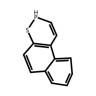 C1=Cc2c(ccc3ccccc23)SP1